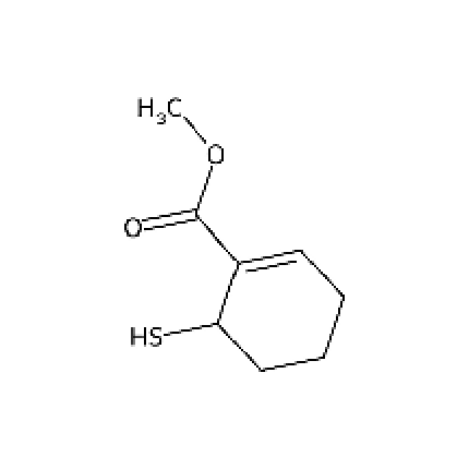 COC(=O)C1=CCCCC1S